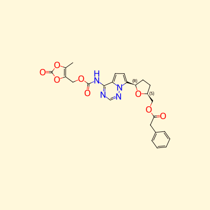 Cc1oc(=O)oc1COC(=O)Nc1ncnn2c([C@H]3CC[C@@H](COC(=O)Cc4ccccc4)O3)ccc12